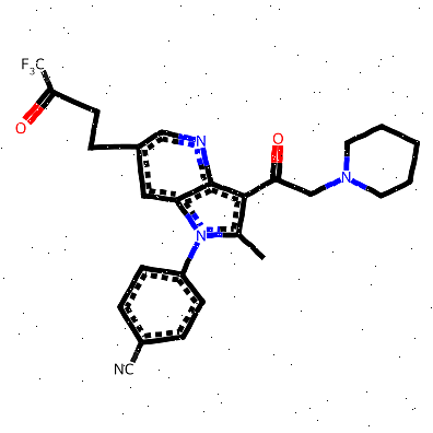 Cc1c(C(=O)CN2CCCCC2)c2ncc(CCC(=O)C(F)(F)F)cc2n1-c1ccc(C#N)cc1